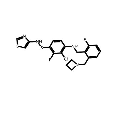 Fc1cccc(CN2CCC2)c1CNc1ccc(SNc2cscn2)c(F)c1Cl